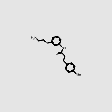 CC(C)(C)c1ccc(CCC(=O)Nc2cccc(OCCN)c2)cc1